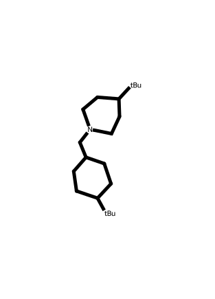 CC(C)(C)C1CCC(CN2CCC(C(C)(C)C)CC2)CC1